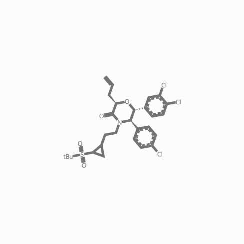 C=CC[C@H]1O[C@H](c2ccc(Cl)c(Cl)c2)[C@@H](c2ccc(Cl)cc2)N(CCC2CC2S(=O)(=O)C(C)(C)C)C1=O